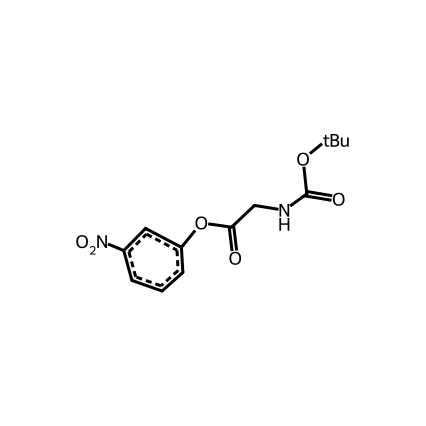 CC(C)(C)OC(=O)NCC(=O)Oc1cccc([N+](=O)[O-])c1